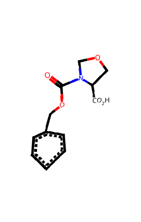 O=C(O)C1COCN1C(=O)OCc1ccccc1